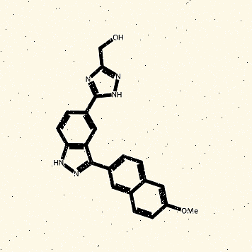 COc1ccc2cc(-c3n[nH]c4ccc(-c5nc(CO)n[nH]5)cc34)ccc2c1